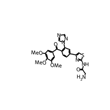 COc1cc(C(=O)c2ccc(-c3csc(NC(=O)CN)n3)cc2-n2cncn2)cc(OC)c1OC